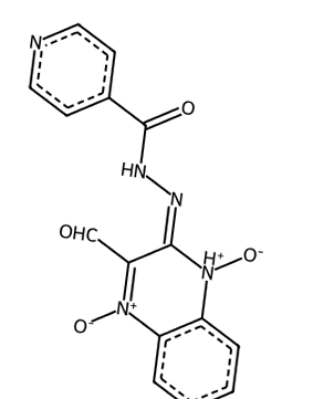 O=CC1=[N+]([O-])c2ccccc2[NH+]([O-])/C1=N/NC(=O)c1ccncc1